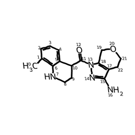 Cc1cccc2c1NCCC2C(=O)n1nc(N)c2c1COCC2